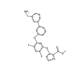 COC(=O)c1sccc1Oc1nc(Oc2cccc(-c3cccc(CN)c3)c2)c(F)cc1F